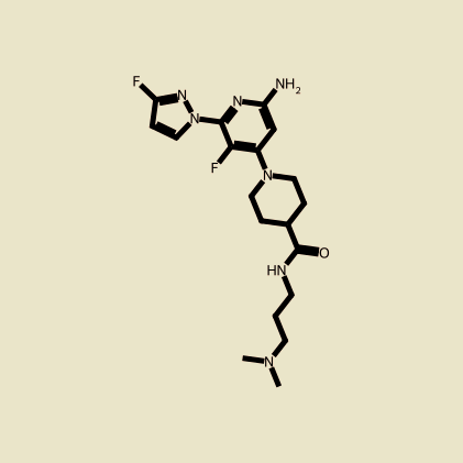 CN(C)CCCNC(=O)C1CCN(c2cc(N)nc(-n3ccc(F)n3)c2F)CC1